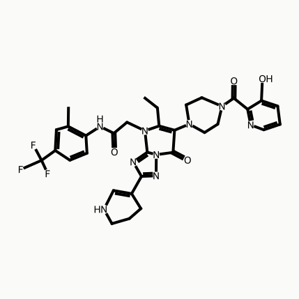 CCc1c(N2CCN(C(=O)c3ncccc3O)CC2)c(=O)n2nc(C3=CNCCC3)nc2n1CC(=O)Nc1ccc(C(F)(F)F)cc1C